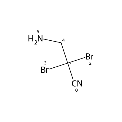 N#CC(Br)(Br)CN